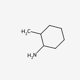 [CH2]C1CCCCC1N